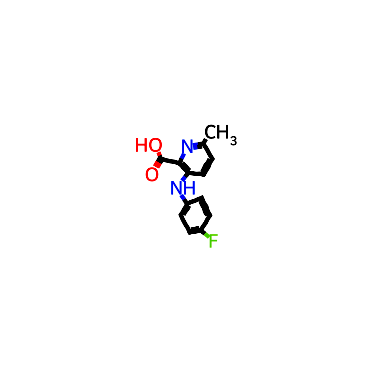 Cc1ccc(Nc2ccc(F)cc2)c(C(=O)O)n1